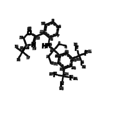 CCC(CC)(Pc1ccccc1C1=N[C@@H](C(C)(C)C)CO1)c1cc(C(F)(F)F)cc(C(F)(F)F)c1